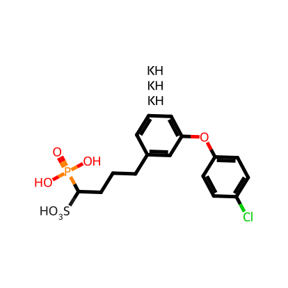 O=P(O)(O)C(CCCc1cccc(Oc2ccc(Cl)cc2)c1)S(=O)(=O)O.[KH].[KH].[KH]